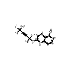 [2H]C([2H])([2H])C#CC([2H])([2H])Oc1cnc2c(Cl)nccc2n1